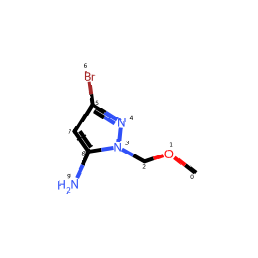 COCn1nc(Br)cc1N